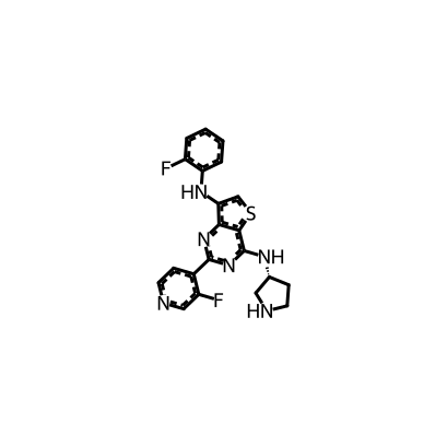 Fc1ccccc1Nc1csc2c(N[C@@H]3CCNC3)nc(-c3ccncc3F)nc12